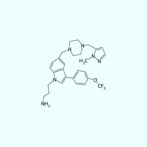 Cn1nccc1CN1CCN(Cc2ccc3c(c2)c(-c2ccc(OC(F)(F)F)cc2)cn3CCCN)CC1